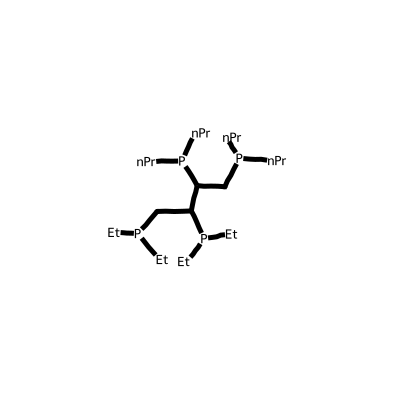 CCCP(CCC)CC(C(CP(CC)CC)P(CC)CC)P(CCC)CCC